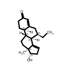 CC[C@@H]1CC2=CC(=O)CC[C@@H]2[C@H]2CC[C@@]3(C)C(=CC[C@@H]3O)[C@H]12